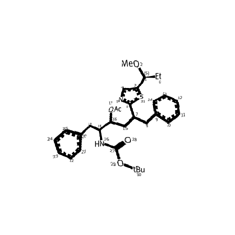 CC[C@H](OC)c1cnc(C(Cc2ccccc2)CC(OC(C)=O)C(Cc2ccccc2)NC(=O)OC(C)(C)C)s1